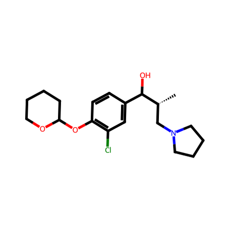 C[C@H](CN1CCCC1)C(O)c1ccc(OC2CCCCO2)c(Cl)c1